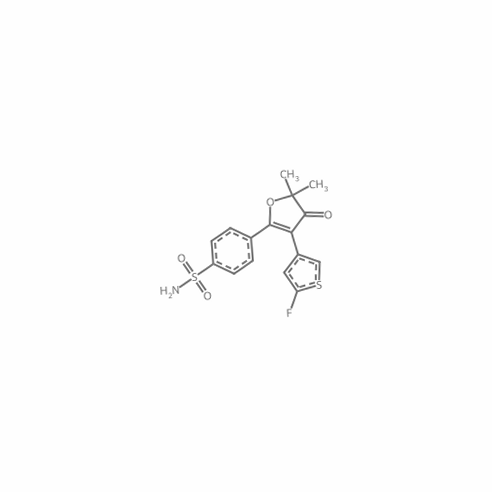 CC1(C)OC(c2ccc(S(N)(=O)=O)cc2)=C(c2csc(F)c2)C1=O